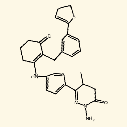 CC1CC(=O)N(N)N=C1c1ccc(NC2=C(Cc3cccc(C4=CCCS4)c3)C(=O)CCC2)cc1